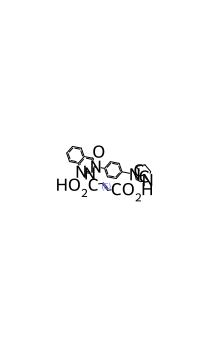 O=C(O)/C=C/C(=O)O.O=c1c2ccccc2nnn1-c1ccc(N2CCN3CCC2CC3)cc1